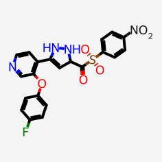 O=C(C1C=C(c2ccncc2Oc2ccc(F)cc2)NN1)S(=O)(=O)c1ccc([N+](=O)[O-])cc1